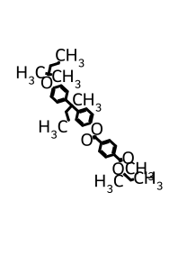 CCCC(C)(C)Oc1ccc(C(C)(CCC)c2ccc(OC(=O)c3ccc(C(=O)OC(C)(C)CC)cc3)cc2)cc1